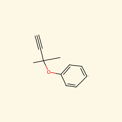 C#CC(C)(C)Oc1cc[c]cc1